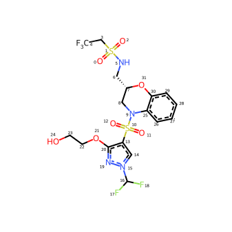 O=S(=O)(CC(F)(F)F)NC[C@H]1CN(S(=O)(=O)c2cn(C(F)F)nc2OCCO)c2c[c]ccc2O1